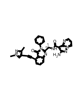 Cc1nn(C)cc1C#Cc1cccc2nc([C@H](C)NC(=O)c3c(N)nn4cccnc34)n(-c3ccccc3)c(=O)c12